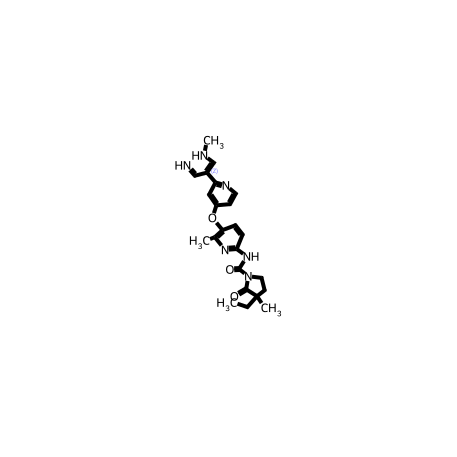 CCC1(C)CCN(C(=O)Nc2ccc(Oc3ccnc(/C(C=N)=C/NC)c3)c(C)n2)C1=O